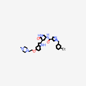 CCc1cccc(Cn2cc(C(=O)Nc3c[nH]c(=O)c(-c4cc5cc(OCCN6CCN(C)CC6)ccc5[nH]4)c3)cn2)c1